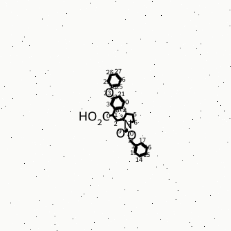 O=C(O)C(CC1CCCN1C(=O)OCc1ccccc1)c1cccc(Oc2ccccc2)c1